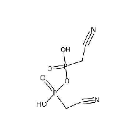 N#CCP(=O)(O)OP(=O)(O)CC#N